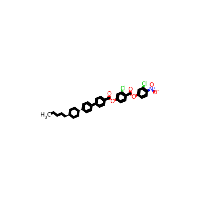 CCCCC[C@H]1CC[C@H](c2ccc(-c3ccc(C(=O)Oc4ccc(C(=O)Oc5ccc([N+](=O)[O-])c(Cl)c5)c(Cl)c4)cc3)cc2)CC1